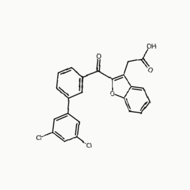 O=C(O)Cc1c(C(=O)c2cccc(-c3cc(Cl)cc(Cl)c3)c2)oc2ccccc12